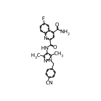 Cc1nn(Cc2ccc(C#N)cc2)c(C)c1NC(=O)c1cc(C(N)=O)c2cc(F)ccc2n1